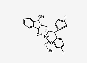 CC(C)(C)OC(=O)N[C@H](CN1C(O)c2ccccc2C1O)C(c1ccc(F)cc1)c1ccc(F)cc1